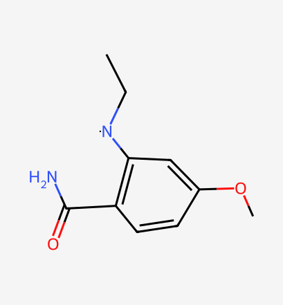 CC[N]c1cc(OC)ccc1C(N)=O